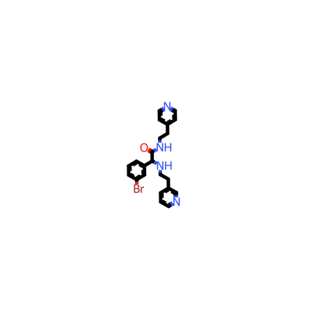 O=C(NCCc1ccncc1)C(NCCc1cccnc1)c1cccc(Br)c1